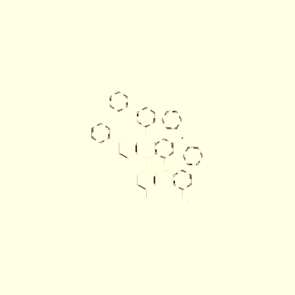 CC(C)(C)C1=CCC2B3C4=C(CC(c5ccccc5)C=C4)N(c4cccc(-c5ccccc5)c4)c4cc(C(C)(c5ccccc5)c5ccccc5)cc(c43)N(c3cccc(C(C)(C)C)c3)C2=C1